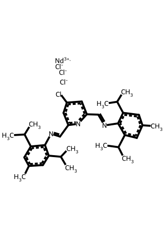 Cc1cc(C(C)C)c(N=Cc2cc(Cl)cc(C=Nc3c(C(C)C)cc(C)cc3C(C)C)n2)c(C(C)C)c1.[Cl-].[Cl-].[Cl-].[Nd+3]